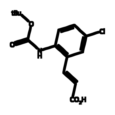 CC(C)(C)OC(=O)Nc1ccc(Cl)cc1C=CC(=O)O